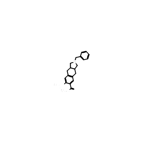 COC(=O)c1cc2c(cc1C(=O)O)CC1CN(Cc3ccccc3)CC1C2